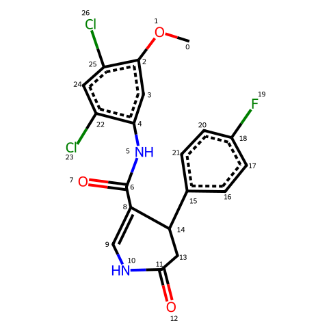 COc1cc(NC(=O)C2=CNC(=O)CC2c2ccc(F)cc2)c(Cl)cc1Cl